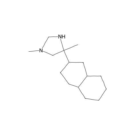 CN1CNC(C)(C2CCC3CCCCC3C2)C1